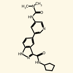 CN(C)C(=O)Nc1cncc(-c2ccc3[nH]nc(C(=O)NC4CCCC4)c3c2)c1